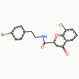 O=C(NCCc1ccc(Br)cc1)c1cc(=O)c2cccc(Cl)c2o1